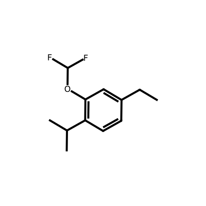 CCc1ccc(C(C)C)c(OC(F)F)c1